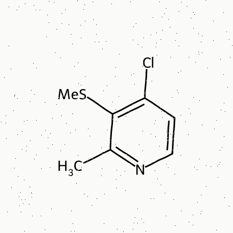 CSc1c(Cl)ccnc1C